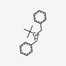 C[C](C)(C)[GeH]([CH2]c1ccccc1)[CH2]c1ccccc1